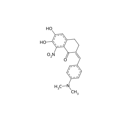 CN(C)c1ccc(/C=C2/CCc3cc(O)c(O)c([N+](=O)[O-])c3C2=O)cc1